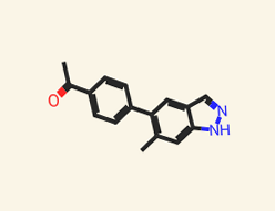 CC(=O)c1ccc(-c2cc3cn[nH]c3cc2C)cc1